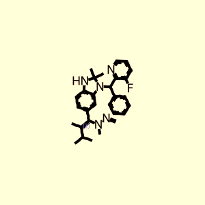 C=NN(C)/C(=C(/C)C(C)C)c1ccc2c(c1)N(C(c1ccccc1)c1ncccc1F)C(C)(C)N2